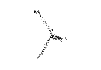 CCCCCCCCCCCCCCCCCC(=O)OC[C@H](COP(=O)(OC)OCCNC(C)=O)OC(=O)CCCCCCCCCCCCCCCCC